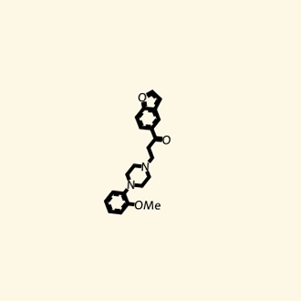 COc1ccccc1N1CCN(CCC(=O)c2ccc3occc3c2)CC1